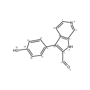 O=Cc1[nH]c2cnccc2c1-c1ccc(O)cc1